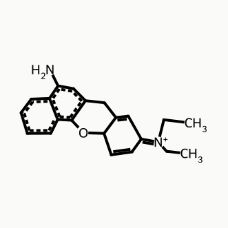 CC[N+](CC)=C1C=CC2Oc3c(cc(N)c4ccccc34)CC2=C1